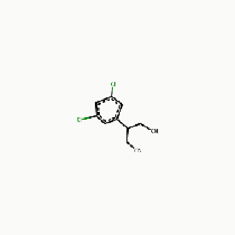 N#CCC(CC#N)c1cc(Cl)cc(Cl)c1